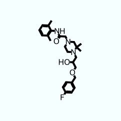 Cc1cccc(C)c1NC(=O)CN1CCN(CC(O)COCc2ccc(F)cc2)C(C)(C)C1